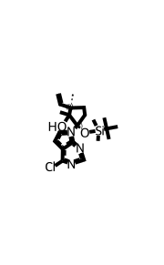 C=C[C@@]1(C)CC[C@@](O[Si](C)(C)C(C)(C)C)(n2ccc3c(Cl)ncnc32)C1(C)O